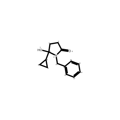 O=C1CCC(O)(C2CC2)N1Cc1ccccc1